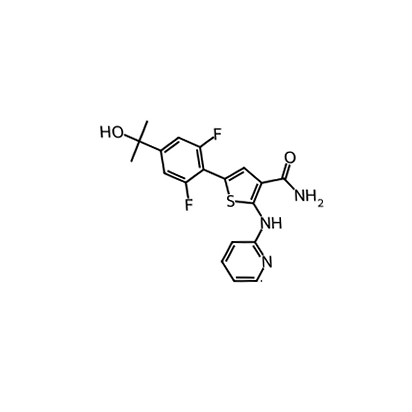 CC(C)(O)c1cc(F)c(-c2cc(C(N)=O)c(Nc3ccc[c]n3)s2)c(F)c1